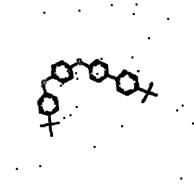 CC(C)(C)c1ccc(Oc2ccc(Oc3ccc(-c4ccc(C(C)(C)C)cc4)cc3)cc2)cc1